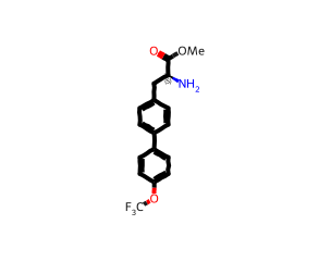 COC(=O)[C@@H](N)Cc1ccc(-c2ccc(OC(F)(F)F)cc2)cc1